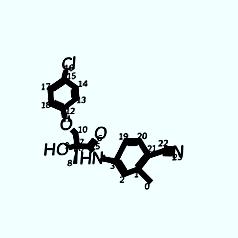 Cc1cc(NC(=O)[C@](C)(O)COc2ccc(Cl)cc2)ccc1C#N